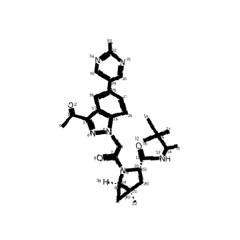 CC(=O)c1nn(CC(=O)N2[C@H](C(=O)NC(C)C(C)(C)C)C[C@@]3(C)C[C@@H]23)c2ccc(-c3cnc(C)nc3)cc12